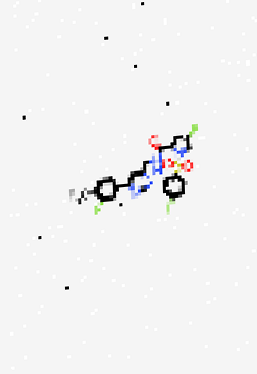 O=C(NCc1cc(-c2ccc(C(F)(F)F)c(F)c2)ncn1)C1CC(F)CN1S(=O)(=O)c1ccc(F)cc1